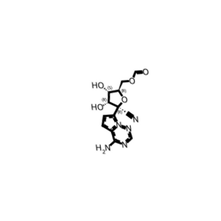 N#C[C@@]1(c2ccc3c(N)ncnn23)O[C@H](COC=O)[C@@H](O)[C@H]1O